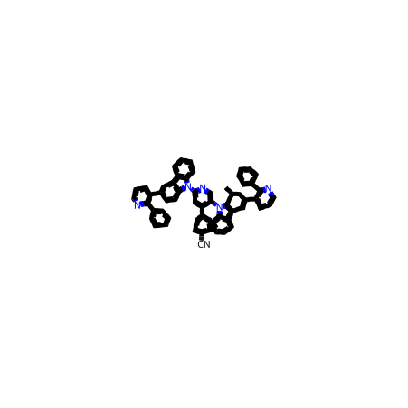 CC1CC(c2cccnc2-c2ccccc2)=Cc2c1n(-c1cnc(-n3c4ccccc4c4cc(-c5cccnc5-c5ccccc5)ccc43)cc1-c1ccc(C#N)cc1)c1ccccc21